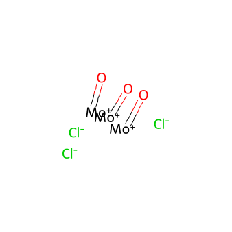 [Cl-].[Cl-].[Cl-].[O]=[Mo+].[O]=[Mo+].[O]=[Mo+]